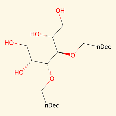 CCCCCCCCCCCO[C@@H]([C@H](OCCCCCCCCCCC)[C@H](O)CO)[C@H](O)CO